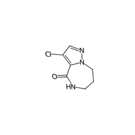 O=C1NCCCn2ncc(Cl)c21